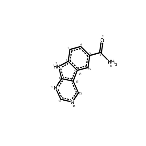 NC(=O)c1ccc2[nH]c3ncncc3c2c1